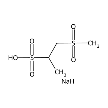 CC(CS(C)(=O)=O)S(=O)(=O)O.[NaH]